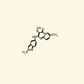 Cc1ccc2nc(Nc3ccc4nn(C)cc4c3)c(CO)c(=O)n2c1